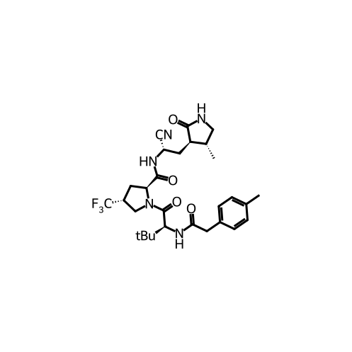 Cc1ccc(CC(=O)N[C@H](C(=O)N2C[C@H](C(F)(F)F)C[C@H]2C(=O)N[C@H](C#N)C[C@H]2C(=O)NC[C@@H]2C)C(C)(C)C)cc1